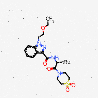 CC(C)(C)C(NC(=O)c1nn(CCOCC(F)(F)F)c2ccccc12)C(=O)N1CCS(=O)(=O)CC1